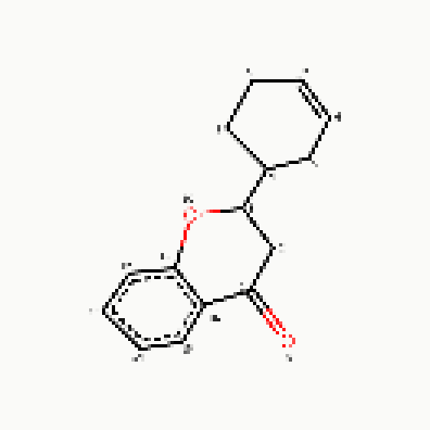 O=C1CC(C2CC=CCC2)Oc2ccccc21